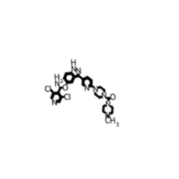 CN1CCN(C(=O)N2CCN(c3ccc(-c4n[nH]c5ccc(O[C@H](N)c6c(Cl)cncc6Cl)cc45)cn3)CC2)CC1